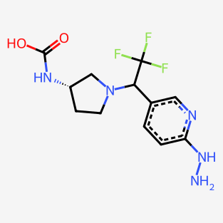 NNc1ccc(C(N2CC[C@H](NC(=O)O)C2)C(F)(F)F)cn1